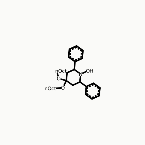 CCCCCCCCOC1(OCCCCCCCC)CC(c2ccccc2)N(O)C(c2ccccc2)C1